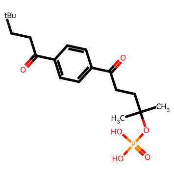 CC(C)(C)CCC(=O)c1ccc(C(=O)CCC(C)(C)OP(=O)(O)O)cc1